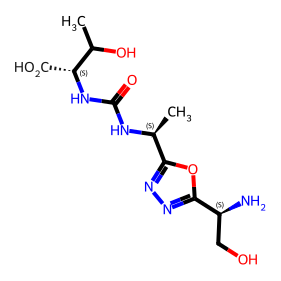 CC(O)[C@H](NC(=O)N[C@@H](C)c1nnc([C@@H](N)CO)o1)C(=O)O